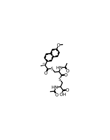 COc1ccc2cc([C@H](C)C(=O)SCC(NC(C)=O)C(=O)SCC(NC(C)=O)C(=O)O)ccc2c1